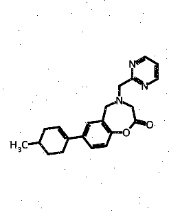 CC1CC=C(c2ccc3c(c2)CN(Cc2ncccn2)CC(=O)O3)CC1